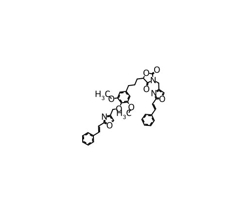 COc1cc(CCCC2OC(=O)N(Cc3coc(/C=C/c4ccccc4)n3)C2=O)cc(OC)c1OCc1coc(/C=C/c2ccccc2)n1